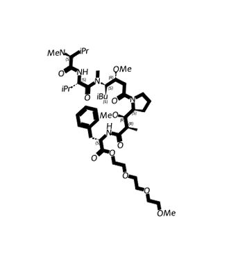 CC[C@H](C)[C@@H]([C@@H](CC(=O)N1CCC[C@H]1[C@H](OC)[C@@H](C)C(=O)N[C@@H](Cc1ccccc1)C(=O)OCCOCCOCCOC)OC)N(C)C(=O)[C@@H](NC(=O)[C@@H](NC)C(C)C)C(C)C